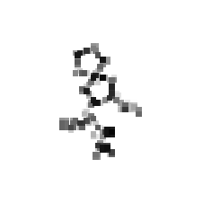 C[C@H]1CC2(CCCC2)C[C@H]1P(P)PP